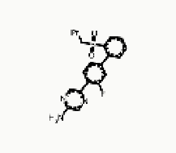 CC(C)CS(=O)(=O)c1ccccc1-c1ccc(-c2cnc(N)cn2)c(F)c1